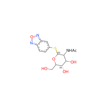 CC(=O)NC1C(O)[C@H](O)C(CO)O[C@H]1Sc1ccc2nonc2c1